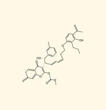 CCCc1c(OCC/C=C\C=C\[C@H](c2c(OC(=O)OC)oc3c(c2=O)=CCC(=S)C=3)[C@H](O)c2cccc(C)c2)ccc(C(C)=O)c1O